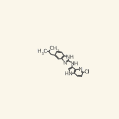 CC(C)Cc1ccc2[nH]c(Nc3c[nH]c4ccc(Cl)nc34)nc2c1